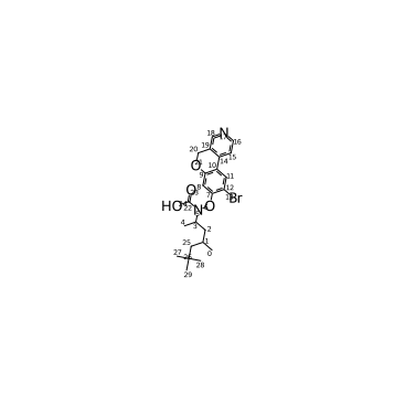 CC(CC(C)N(Oc1cc2c(cc1Br)-c1ccncc1CO2)C(=O)O)CC(C)(C)C